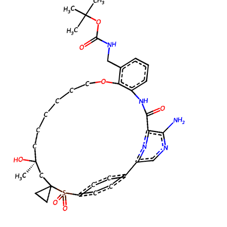 CC(C)(C)OC(=O)NCc1cccc2c1OCCCCCC[C@](C)(O)CC1(CC1)S(=O)(=O)c1ccc(cc1)-c1cnc(N)c(n1)C(=O)N2